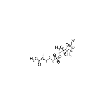 CC(=O)NCCCS(=O)(=O)OCC(C)(C)[C@@H]1COC(=S)O1